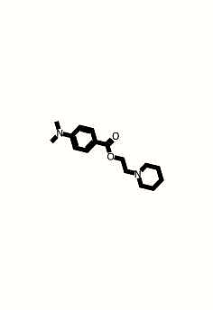 CN(C)c1ccc(C(=O)OCCN2CCCCC2)cc1